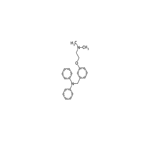 CN(C)CCOc1cccc(CN(c2ccccc2)c2ccccc2)c1